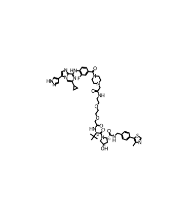 Cc1ncsc1-c1ccc(CNC(=O)[C@@H]2C[C@@H](O)CN2C(=O)[C@@H](NC(=O)COCCOCCNC(=O)CN2CCN(C(=O)c3ccc(Nc4nc(C5CC5)cn5c(-c6cn[nH]c6)cnc45)c(F)c3)CC2)C(C)(C)C)cc1